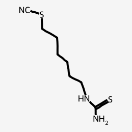 N#CSCCCCCCNC(N)=S